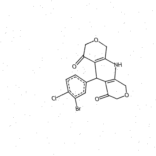 O=C1COCC2=C1C(c1ccc(Cl)c(Br)c1)C1=C(COCC1=O)N2